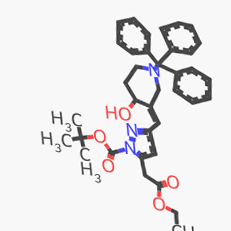 CCOC(=O)Cc1cc(C=C2CN(C(c3ccccc3)(c3ccccc3)c3ccccc3)CCC2O)nn1C(=O)OC(C)(C)C